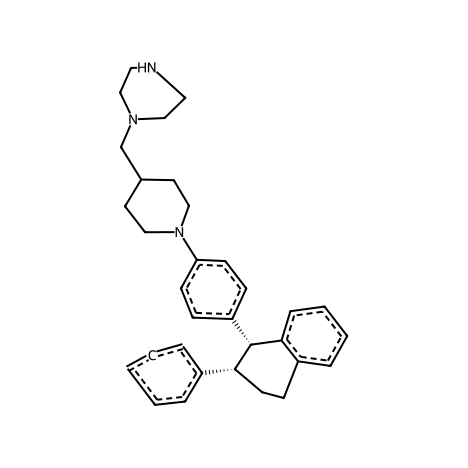 c1ccc([C@H]2CCc3ccccc3[C@H]2c2ccc(N3CCC(CN4CCNCC4)CC3)cc2)cc1